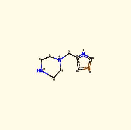 [c]1nc(CN2CCNCC2)cs1